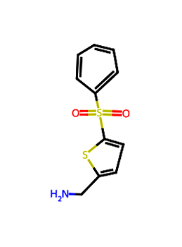 NCc1ccc(S(=O)(=O)c2ccccc2)s1